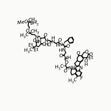 BC(C)(CCOC(C)(C)CCNC[C@@H](C(=O)NCC(=O)NCC(=O)N[C@@H](Cc1ccccc1)C(=O)NCC(=O)NCO[C@H](C)C(=O)N[C@H]1CCc2c(C)c(F)cc3nc4c(c1c23)CC1CC(=O)C2=C(C=C41)[C@@](O)(CC)C(=O)OC2)N1C(=O)CC(C(C)(CC)CC)C1=O)OC